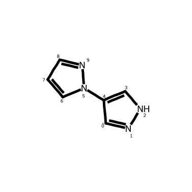 [c]1n[nH]cc1-n1cccn1